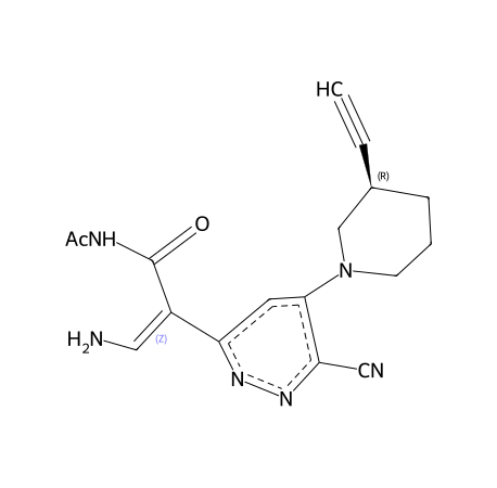 C#C[C@H]1CCCN(c2cc(/C(=C/N)C(=O)NC(C)=O)nnc2C#N)C1